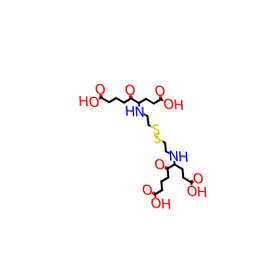 O=C(O)CCCC(=O)C(CCC(=O)O)NCCSSCCNC(CCC(=O)O)C(=O)CCCC(=O)O